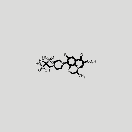 CC1COc2c(N3CCN(CC(O)(P(=O)(O)O)P(=O)(O)O)CC3)c(F)cc3c(=O)c(C(=O)O)cn1c23